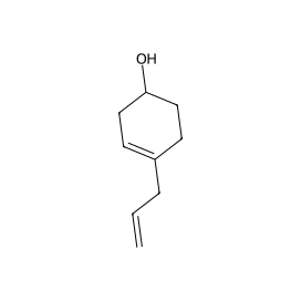 C=CCC1=CCC(O)CC1